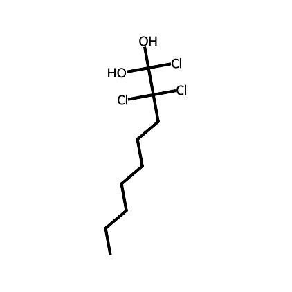 CCCCCCCC(Cl)(Cl)C(O)(O)Cl